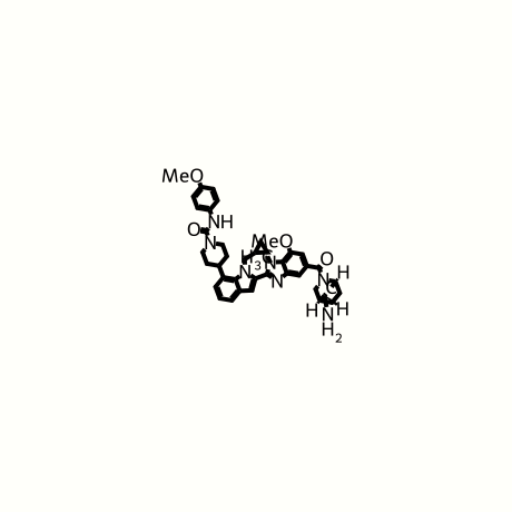 COc1ccc(NC(=O)N2CCC(c3cccc4cc(-c5nc6cc(C(=O)N7C[C@H]8CC[C@@H]7C[C@@H]8N)cc(OC)c6n5C)n(CC5CC5)c34)CC2)cc1